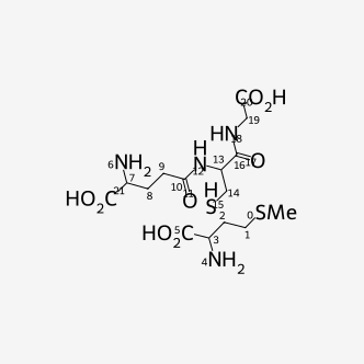 CSCCC(N)C(=O)O.NC(CCC(=O)NC(CS)C(=O)NCC(=O)O)C(=O)O